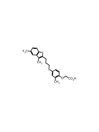 Cc1cc(SCCCc2sc3ccc(C(F)(F)F)cc3c2C)ccc1OCC(=O)O